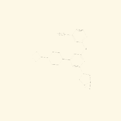 N#Cc1ccnc(Nc2cc(C3CCN(C4COC4)CC3)cc(N3CC4C[C@H]4C3)n2)c1